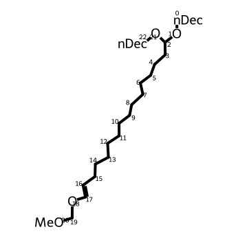 CCCCCCCCCCOC(CCCCCCCCCCCCCC=COCOC)OCCCCCCCCCC